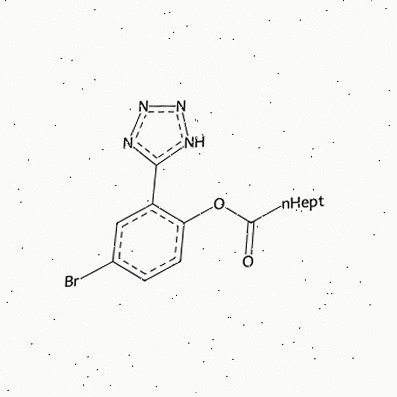 CCCCCCCC(=O)Oc1ccc(Br)cc1-c1nnn[nH]1